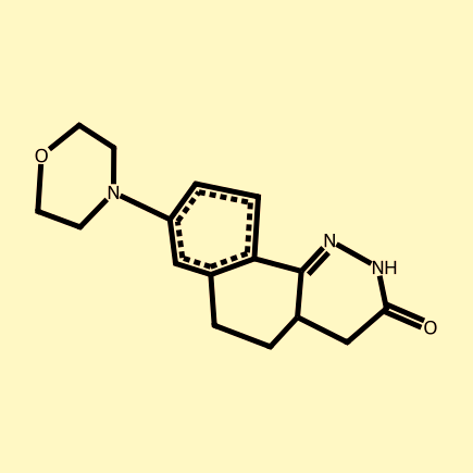 O=C1CC2CCc3cc(N4CCOCC4)ccc3C2=NN1